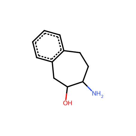 NC1CCc2ccccc2CC1O